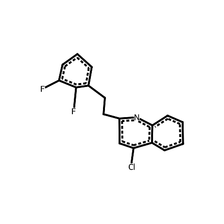 Fc1cccc(CCc2cc(Cl)c3ccccc3n2)c1F